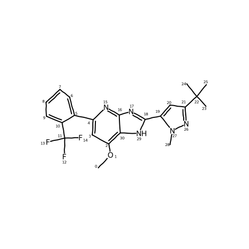 COc1cc(-c2ccccc2C(F)(F)F)nc2nc(-c3cc(C(C)(C)C)nn3C)[nH]c12